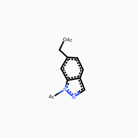 CC(=O)OCc1ccc2cnn(C(C)=O)c2c1